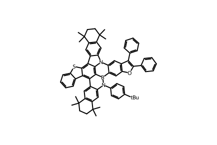 CC(C)(C)c1ccc(N2B3c4cc5oc(-c6ccccc6)c(-c6ccccc6)c5cc4-n4c5cc6c(cc5c5c7sc8ccccc8c7c(c3c54)-c3cc4c(cc32)C(C)(C)CCC4(C)C)C(C)(C)CCC6(C)C)cc1